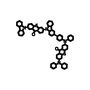 O=c1c2ccc(N(c3ccccc3)c3ccccc3)cc2sc2ccc(N(c3ccccc3)c3ccc(-c4ccc5c(c4)c4ccccc4n5-c4ccc5c(=O)c6cc(-n7c8ccccc8c8ccccc87)ccc6sc5c4)cc3)cc12